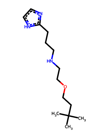 CC(C)(C)CCOCCNCCCc1ncc[nH]1